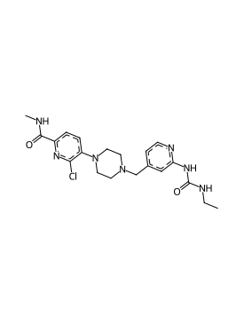 CCNC(=O)Nc1cc(CN2CCN(c3ccc(C(=O)NC)nc3Cl)CC2)ccn1